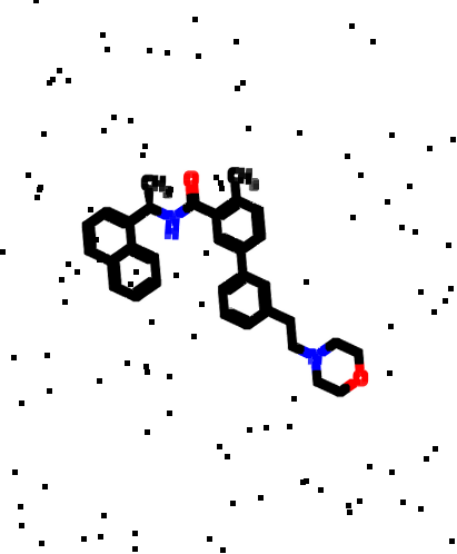 Cc1ccc(-c2cccc(CCN3CCOCC3)c2)cc1C(=O)N[C@H](C)c1cccc2ccccc12